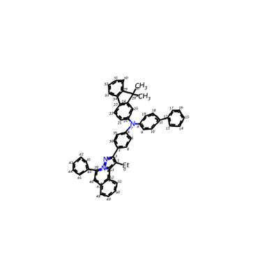 CCc1c(-c2ccc(N(c3ccc(-c4ccccc4)cc3)c3ccc4c(c3)C(C)(C)c3ccccc3-4)cc2)nn2c(-c3ccccc3)cc3ccccc3c12